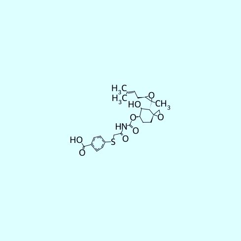 CC(C)=CC[C@H]1OC1(C)[C@H]1[C@H](O)[C@H](OC(=O)NC(=O)CSc2ccc(C(=O)O)cc2)CC[C@]12CO2